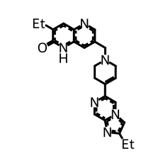 CCc1cn2cc(C3=CCN(Cc4cnc5cc(CC)c(=O)[nH]c5c4)CC3)ncc2n1